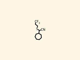 N#CC(SCCC(F)(F)F)C1CCCCCC1